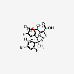 CC[C@]1(c2ccc(Cl)c(F)c2)N2C(=N[C@@]1(C)c1ccc(Br)cc1F)SC(C(=O)O)=C2C(C)C